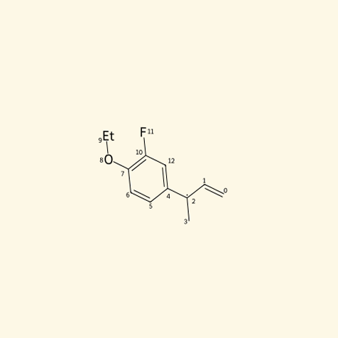 C=C[C](C)c1ccc(OCC)c(F)c1